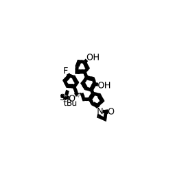 CC(C)(C)[Si](C)(C)O[C@@H](CCc1cc(N2CCC2=O)ccc1-c1ccc(-c2cccc(O)c2)cc1O)c1ccc(F)cc1